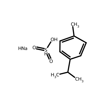 Cc1ccc(C(C)C)cc1.O=[SH](=O)O.[NaH]